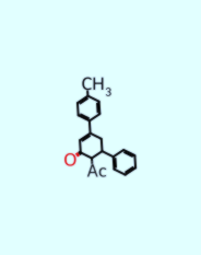 CC(=O)C1C(=O)C=C(c2ccc(C)cc2)CC1c1ccccc1